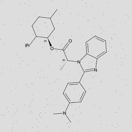 CC1CCC(C(C)C)[C@H](OC(=O)[C@@H](C)n2c(-c3ccc(N(C)C)cc3)nc3ccccc32)C1